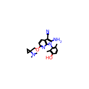 Cc1ccc(O)c(C)c1-n1c(N)c(C#N)c2ccc(OCC3(N(C)C)CC3)nc21